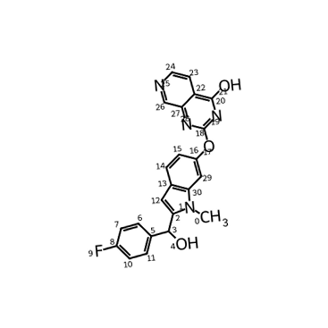 Cn1c(C(O)c2ccc(F)cc2)cc2ccc(Oc3nc(O)c4ccncc4n3)cc21